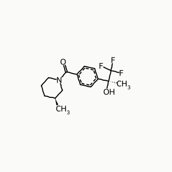 C[C@H]1CCCN(C(=O)c2ccc([C@](C)(O)C(F)(F)F)cc2)C1